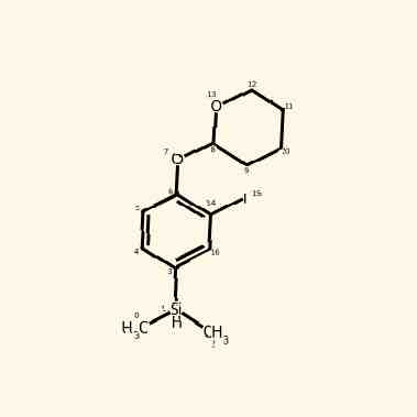 C[SiH](C)c1ccc(OC2CCCCO2)c(I)c1